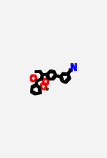 CCc1c(C(=O)c2ccccc2OC)oc2cc(-c3cccc(C#N)c3)ccc12